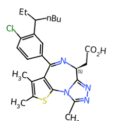 CCCCC(CC)c1cc(C2=N[C@@H](CC(=O)O)c3nnc(C)n3-c3sc(C)c(C)c32)ccc1Cl